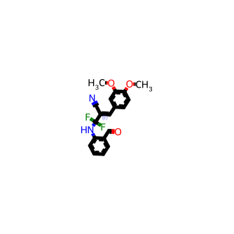 COc1ccc(/C=C(\C#N)C(F)(F)Nc2ccccc2C=O)cc1OC